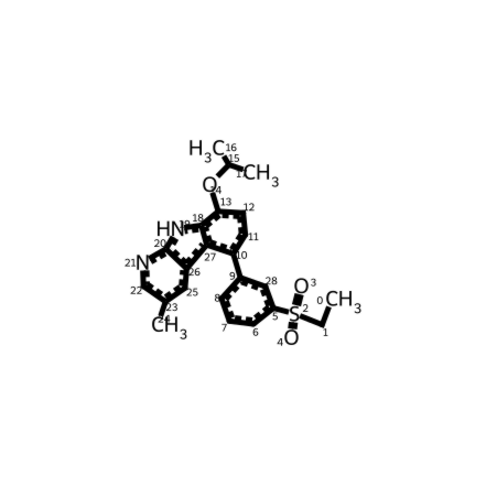 CCS(=O)(=O)c1cccc(-c2ccc(OC(C)C)c3[nH]c4ncc(C)cc4c23)c1